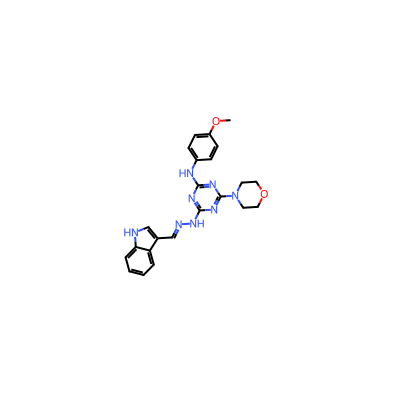 COc1ccc(Nc2nc(N/N=C/c3c[nH]c4ccccc34)nc(N3CCOCC3)n2)cc1